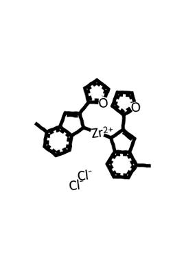 Cc1cccc2c1C=C(c1ccco1)[CH]2[Zr+2][CH]1C(c2ccco2)=Cc2c(C)cccc21.[Cl-].[Cl-]